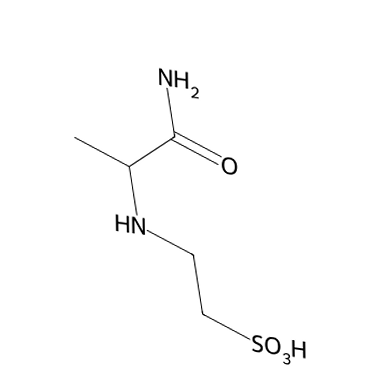 CC(NCCS(=O)(=O)O)C(N)=O